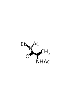 C=C(NC(C)=O)C(=O)N(CC)C(C)=O